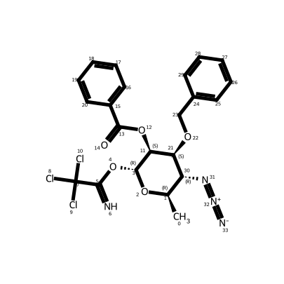 C[C@H]1O[C@H](OC(=N)C(Cl)(Cl)Cl)[C@@H](OC(=O)c2ccccc2)[C@@H](OCc2ccccc2)[C@@H]1N=[N+]=[N-]